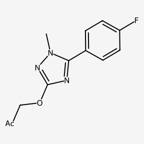 CC(=O)COc1nc(-c2ccc(F)cc2)n(C)n1